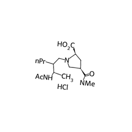 CCCC(CN1C[C@H](C(=O)NC)C[C@@H]1C(=O)O)C(C)NC(C)=O.Cl